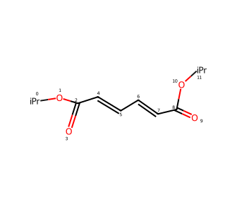 CC(C)OC(=O)C=CC=CC(=O)OC(C)C